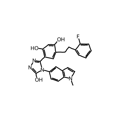 Cn1ccc2cc(-n3c(O)nnc3-c3cc(CCc4ccccc4F)c(O)cc3O)ccc21